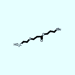 CC(C)(C)CCCOC(=O)CCSCCC(=O)O